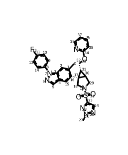 Cc1cc2c(cnn2-c2ccc(F)cc2)cc1[C@@]12CN(S(=O)(=O)c3cnn(C)n3)CC1[C@H]2COc1ccccn1